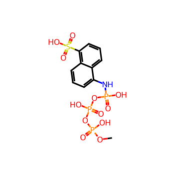 COP(=O)(O)OP(=O)(O)OP(=O)(O)Nc1cccc2c(S(=O)(=O)O)cccc12